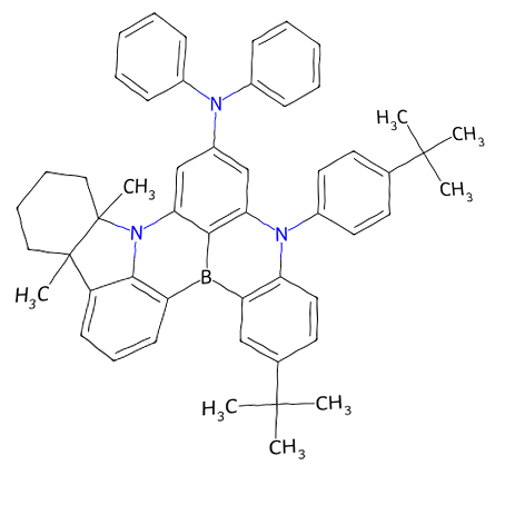 CC(C)(C)c1ccc(N2c3ccc(C(C)(C)C)cc3B3c4cccc5c4N(c4cc(N(c6ccccc6)c6ccccc6)cc2c43)C2(C)CCCCC52C)cc1